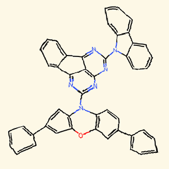 c1ccc(-c2ccc3c(c2)Oc2cc(-c4ccccc4)ccc2N3c2nc3c4c(nc(-n5c6ccccc6c6ccccc65)nc4n2)-c2ccccc2-3)cc1